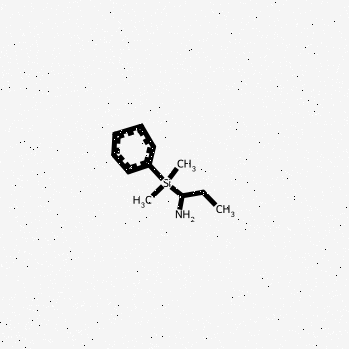 CCC(N)[Si](C)(C)c1ccccc1